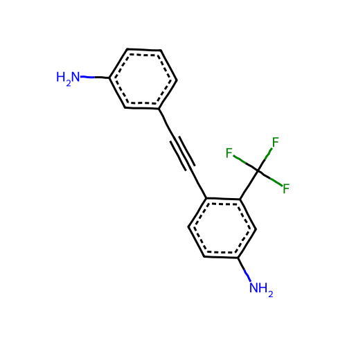 Nc1cccc(C#Cc2ccc(N)cc2C(F)(F)F)c1